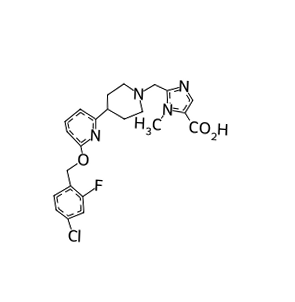 Cn1c(C(=O)O)cnc1CN1CCC(c2cccc(OCc3ccc(Cl)cc3F)n2)CC1